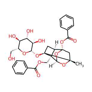 C[C@@]12C[C@@]3(OC(=O)c4ccccc4)O[C@@H](O1)[C@]1(COC(=O)c4ccccc4)[C@H]3C[C@@]12O[C@@H]1O[C@H](CO)[C@@H](O)[C@H](O)[C@H]1O